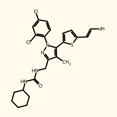 CCC/C=C/c1ccc(-c2c(C)c(CNC(=O)NC3CCCCC3)nn2-c2ccc(Cl)cc2Cl)s1